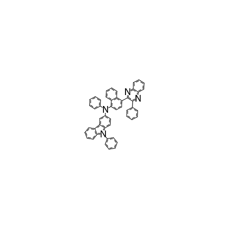 c1ccc(-c2nc3ccccc3nc2-c2ccc(N(c3ccccc3)c3ccc4c(c3)c3ccccc3n4-c3ccccc3)c3ccccc23)cc1